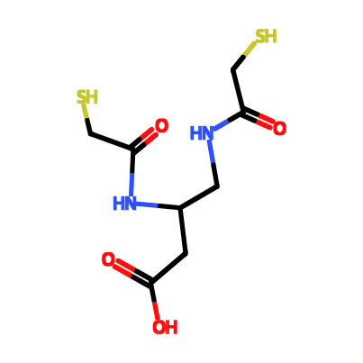 O=C(O)CC(CNC(=O)CS)NC(=O)CS